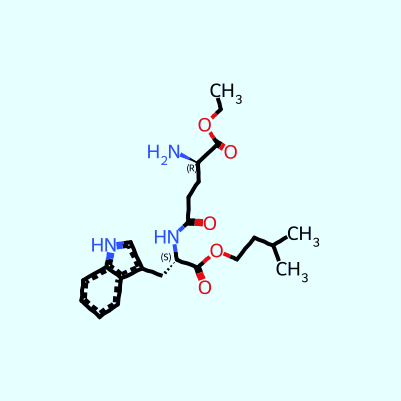 CCOC(=O)[C@H](N)CCC(=O)N[C@@H](Cc1c[nH]c2ccccc12)C(=O)OCCC(C)C